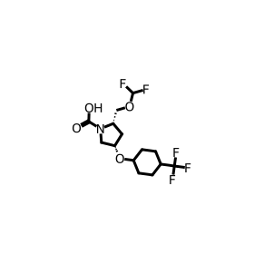 O=C(O)N1C[C@@H](OC2CCC(C(F)(F)F)CC2)C[C@H]1COC(F)F